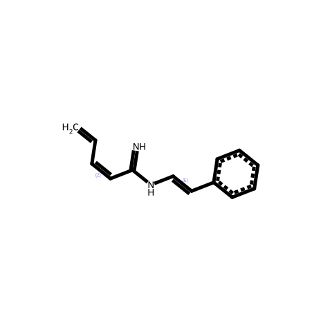 C=C/C=C\C(=N)N/C=C/c1ccccc1